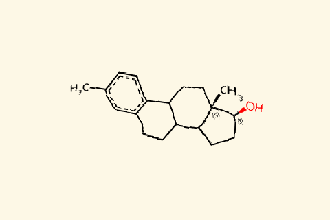 Cc1ccc2c(c1)CCC1C2CC[C@@]2(C)C1CC[C@@H]2O